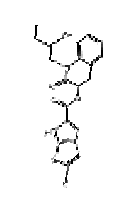 CCC(O)CN1C(=O)C(NC(=O)c2cc3cc(Cl)sc3[nH]2)Cc2ccccc21